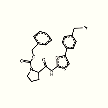 CC(C)Cc1ccc(-c2csc(NC(=O)C3CCCN3C(=O)OCc3ccccc3)n2)cc1